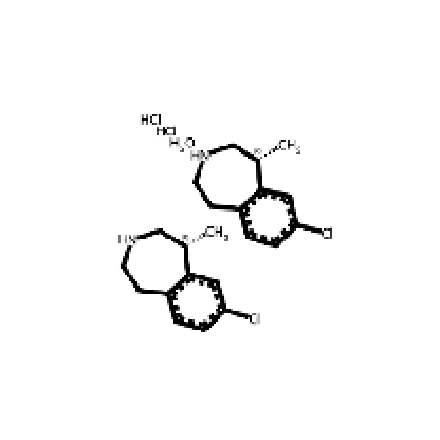 C[C@H]1CNCCc2ccc(Cl)cc21.C[C@H]1CNCCc2ccc(Cl)cc21.Cl.Cl.O